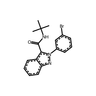 CC(C)(C)NC(=O)c1c2ccccc2nn1-c1cccc(Br)c1